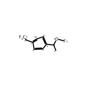 CC(OF)c1ccc(CC(F)(F)F)cc1